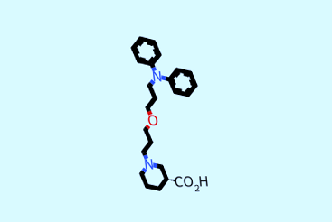 O=C(O)[C@@H]1CCCN(CCCOCCCN(c2ccccc2)c2ccccc2)C1